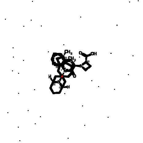 C[C@H]1C[C@H]2C[C@H](N3[C@@H]4CCC[C@H]3C[C@@H](n3c(=O)c(N5CC[C@@H]5C(=O)O)nc5ccccc53)C4)CCCC21C